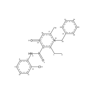 CCc1c(C(=O)Nc2ccccc2Cl)c(=O)cc(C)n1Cc1ccccc1